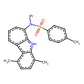 Cc1ccc(S(=O)(=O)N(c2cccc3c2[nH]c2c(C)ccc(C)c23)C(C)C)cc1